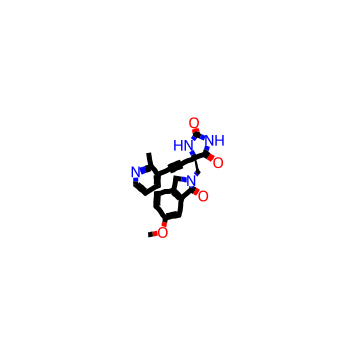 COc1ccc2c(c1)C(=O)N(C[C@@]1(C#Cc3cccnc3C)NC(=O)NC1=O)C2